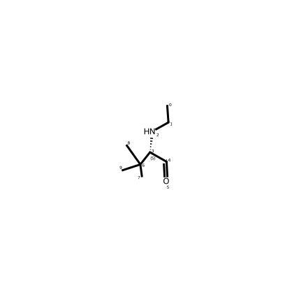 CCN[C@H]([C]=O)C(C)(C)C